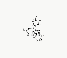 CC1=CCC(C(=O)c2ccc(C)cc2)(N2CCOCC2)CC1